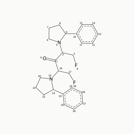 O=C(C(CF)N1CCCC1c1ccccc1)C(CF)N1CCCC1c1ccccc1